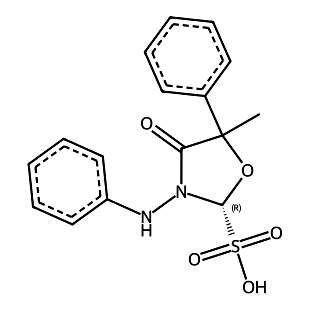 CC1(c2ccccc2)O[C@H](S(=O)(=O)O)N(Nc2ccccc2)C1=O